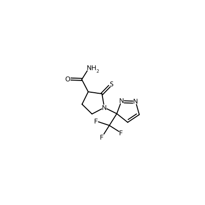 NC(=O)C1CCN(C2(C(F)(F)F)C=CN=N2)C1=S